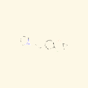 Clc1cc(CCCN2CCCC2)ccc1OC1CC1